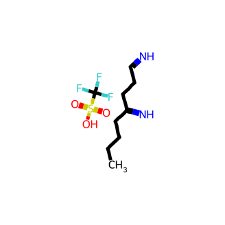 CCCCC(=N)CCC=N.O=S(=O)(O)C(F)(F)F